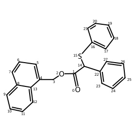 O=C(OCc1cccc2ccccc12)C(Sc1ccccc1)c1ccccc1